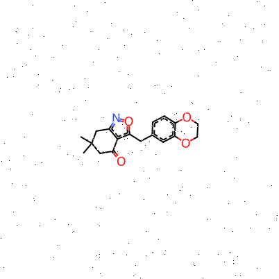 CC1(C)CC(=O)c2c(noc2Cc2ccc3c(c2)OCCO3)C1